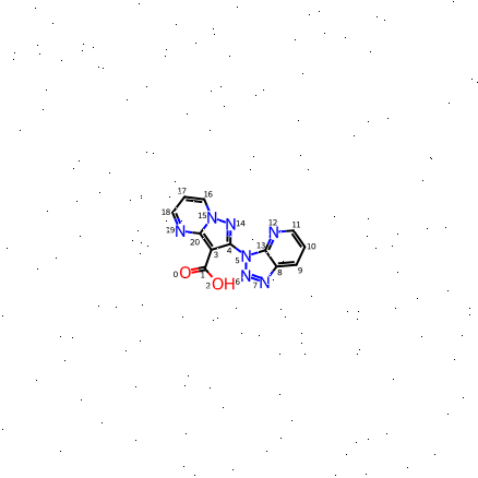 O=C(O)c1c(-n2nnc3cccnc32)nn2cccnc12